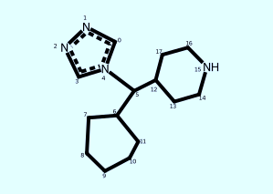 c1nncn1C(C1CCCCC1)C1CCNCC1